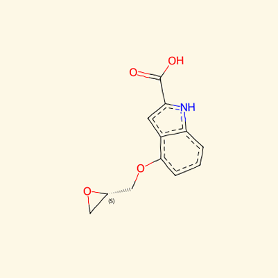 O=C(O)c1cc2c(OC[C@@H]3CO3)cccc2[nH]1